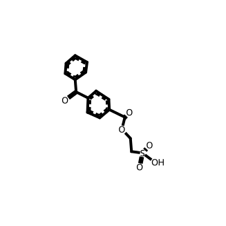 O=C(OCCS(=O)(=O)O)c1ccc(C(=O)c2ccccc2)cc1